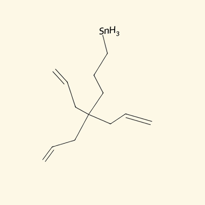 C=CCC(CC=C)(CC=C)CC[CH2][SnH3]